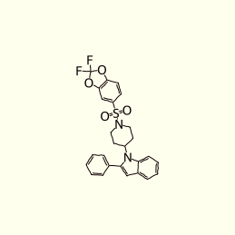 O=S(=O)(c1ccc2c(c1)OC(F)(F)O2)N1CCC(n2c(-c3ccccc3)cc3ccccc32)CC1